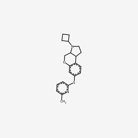 Cc1cccc(Sc2ccc3c(c2)OCC2C3CCN2C2CCC2)n1